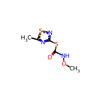 CONC(=O)Sc1nsc(C)n1